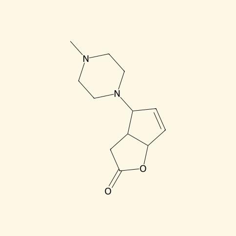 CN1CCN(C2C=CC3OC(=O)CC32)CC1